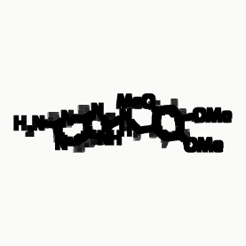 COc1cc(OC)c(OC)cc1CNc1nc2nc(N)ncc2[nH]1